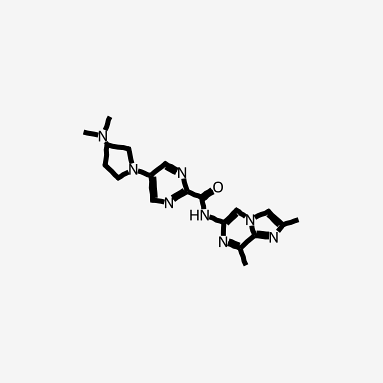 Cc1cn2cc(NC(=O)c3ncc(N4CC[C@@H](N(C)C)C4)cn3)nc(C)c2n1